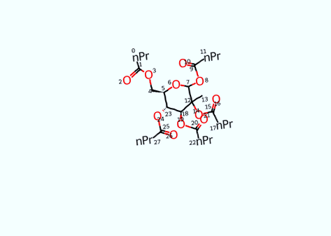 CCCC(=O)OC[C@H]1OC(OC(=O)CCC)C(C)(OC(=O)CCC)[C@@H](OC(=O)CCC)[C@@H]1OC(=O)CCC